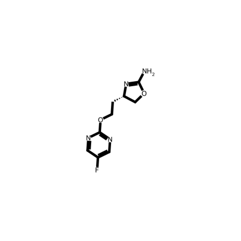 NC1=N[C@@H](CCOc2ncc(F)cn2)CO1